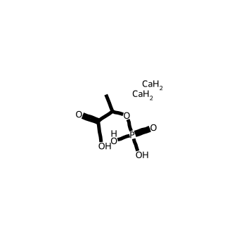 CC(OP(=O)(O)O)C(=O)O.[CaH2].[CaH2]